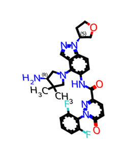 CC1(C)CN(c2c(NC(=O)c3ccc(=O)n(-c4c(F)cccc4F)n3)ccc3c2cnn3[C@H]2CCOC2)C[C@@H]1N